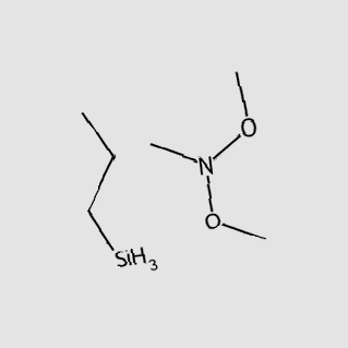 CCC[SiH3].CON(C)OC